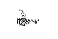 CCCCCCCCN(CCCCCCCC)C(P)(CO)C(=O)O